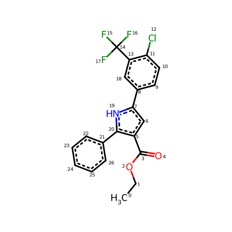 CCOC(=O)c1cc(-c2ccc(Cl)c(C(F)(F)F)c2)[nH]c1-c1ccccc1